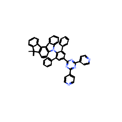 CC1(C)c2ccccc2-c2c1ccc1c2c2ccccc2n1-c1c(-c2ccccc2)cc(-c2nc(-c3ccncc3)nc(-c3ccncc3)n2)cc1-c1ccccc1